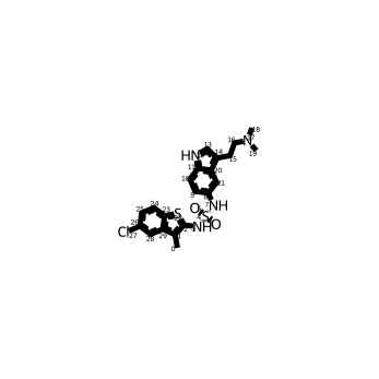 Cc1c(NS(=O)(=O)Nc2ccc3[nH]cc(CCN(C)C)c3c2)sc2ccc(Cl)cc12